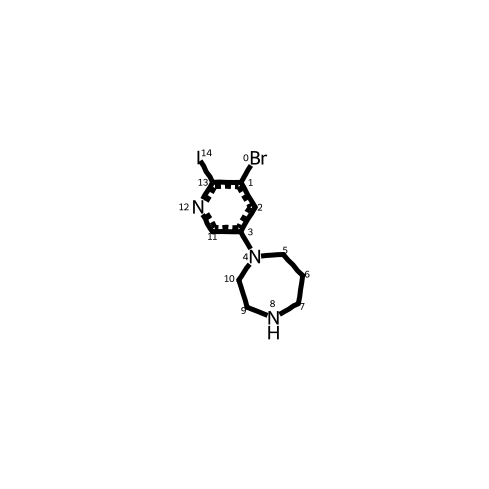 Brc1cc(N2CCCNCC2)cnc1I